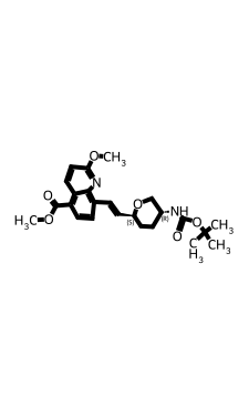 COC(=O)c1ccc(C=C[C@@H]2CC[C@@H](NC(=O)OC(C)(C)C)CO2)c2nc(OC)ccc12